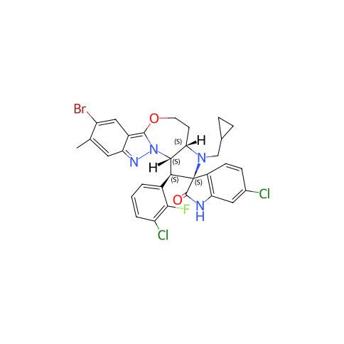 Cc1cc2nn3c(c2cc1Br)OCC[C@H]1[C@@H]3[C@H](c2cccc(Cl)c2F)[C@]2(C(=O)Nc3cc(Cl)ccc32)N1CC1CC1